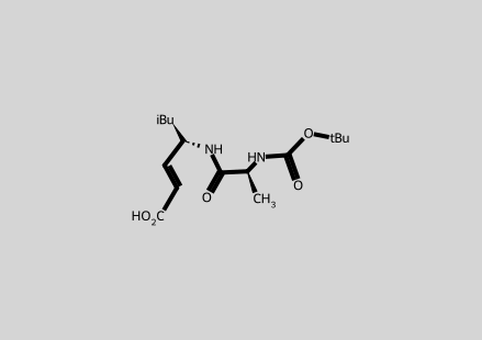 CC[C@H](C)[C@@H](C=CC(=O)O)NC(=O)[C@H](C)NC(=O)OC(C)(C)C